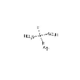 O=S(=O)(O)C(F)(F)S(=O)(=O)O.[Ag]